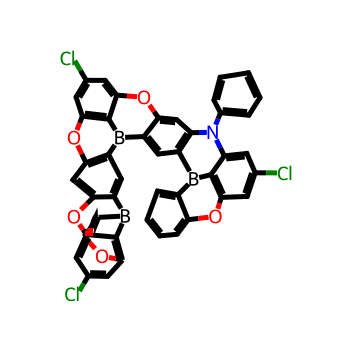 Clc1cc2c3c(c1)Oc1cc4c(cc1B3c1ccccc1O2)B1c2cc3c(cc2Oc2cc(Cl)cc(c21)O4)N(c1ccccc1)c1cc(Cl)cc2c1B3c1ccccc1O2